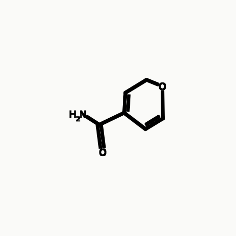 NC(=O)C1=CCOC=C1